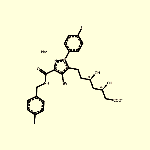 Cc1ccc(CNC(=O)c2nn(-c3ccc(F)cc3)c(CC[C@@H](O)C[C@@H](O)CC(=O)[O-])c2C(C)C)cc1.[Na+]